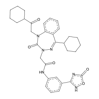 O=C(CN1N=C(C2CCCCC2)c2ccccc2N(CC(=O)C2CCCCC2)C1=O)Nc1cccc(-c2nc(=O)o[nH]2)c1